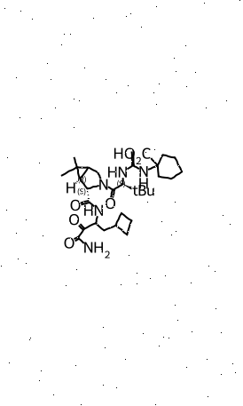 C=C(N[C@H](C(=O)N1CC2[C@@H]([C@H]1C(=O)NC(CC1CCC1)C(=O)C(N)=O)C2(C)C)C(C)(C)C)NC1(C(=O)O)CCCCC1